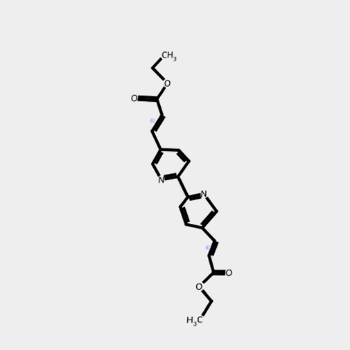 CCOC(=O)/C=C/c1ccc(-c2ccc(/C=C/C(=O)OCC)cn2)nc1